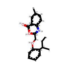 CCC(C)c1ccccc1OCc1nc2ccc(C)cc2c(=O)o1